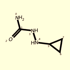 NC(=O)NNC1CC1